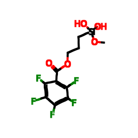 CO[Si](O)(O)CCCOC(=O)c1c(F)c(F)c(F)c(F)c1F